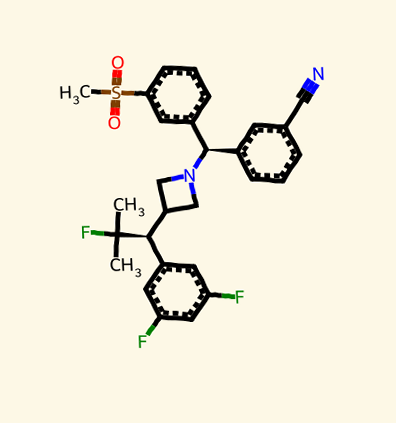 CC(C)(F)[C@H](c1cc(F)cc(F)c1)C1CN([C@H](c2cccc(C#N)c2)c2cccc(S(C)(=O)=O)c2)C1